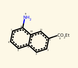 CCOC(=O)c1ccc2cccc(N)c2c1